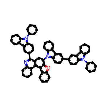 c1ccc(-n2c3ccccc3c3cc(-c4ccc5c(c4)c4ccccc4n5-c4cc5c(-c6ccc7c(c6)c6ccccc6n7-c6ccccc6)nc6ccccc6c5c5c4oc4ccccc45)ccc32)cc1